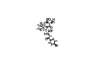 CC(C)[C@@H](C(=O)N1CC2(C[C@H]1C(=O)NCC(=O)c1ccc(Br)cc1)OCCO2)N(C)C(=O)O